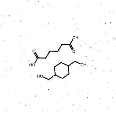 O=C(O)CCCCC(=O)O.OCC1CCC(CO)CC1